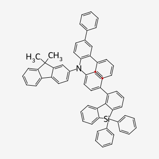 CC1(C)c2ccccc2-c2ccc(N(c3ccc(-c4cccc5c4-c4ccccc4[Si]5(c4ccccc4)c4ccccc4)cc3)c3ccc(-c4ccccc4)cc3-c3ccccc3)cc21